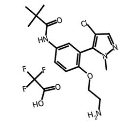 Cn1ncc(Cl)c1-c1cc(NC(=O)C(C)(C)C)ccc1OCCN.O=C(O)C(F)(F)F